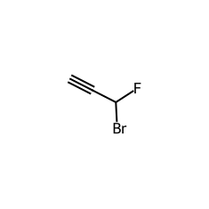 C#CC(F)Br